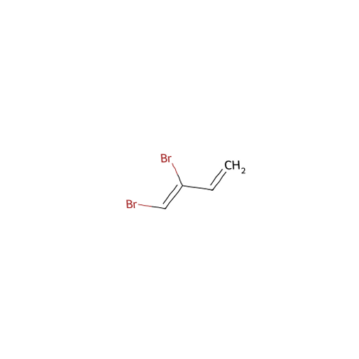 C=CC(Br)=CBr